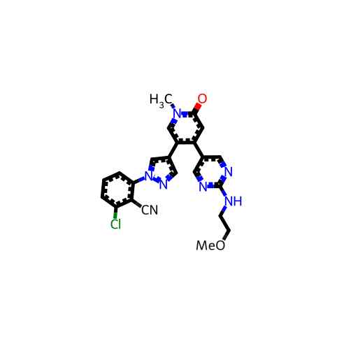 COCCNc1ncc(-c2cc(=O)n(C)cc2-c2cnn(-c3cccc(Cl)c3C#N)c2)cn1